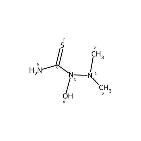 CN(C)N(O)C(N)=S